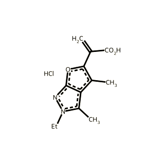 C=C(C(=O)O)c1oc2nn(CC)c(C)c2c1C.Cl